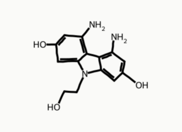 Nc1cc(O)cc2c1c1c(N)cc(O)cc1n2CCO